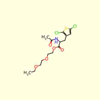 CCOCCOCCOC(=O)C(Cc1cc(Cl)sc1Cl)NC(C)=O